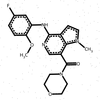 COc1ccc(F)cc1Nc1ncc(C(=O)N2CCOCC2)c2c1ccn2C